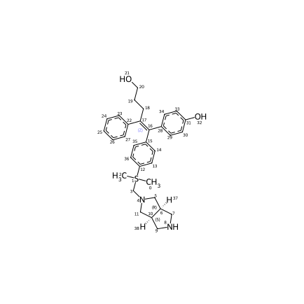 CS(C)(CN1C[C@H]2CNC[C@H]2C1)c1ccc(/C(=C(/CCCO)c2ccccc2)c2ccc(O)cc2)cc1